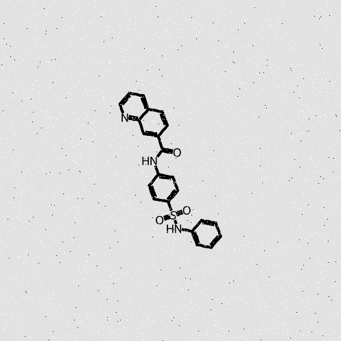 O=C(Nc1ccc(S(=O)(=O)Nc2ccccc2)cc1)c1ccc2cccnc2c1